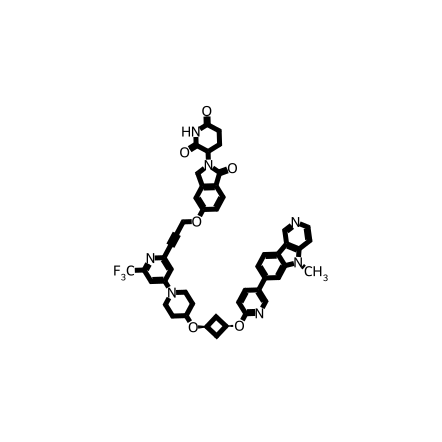 Cn1c2ccncc2c2ccc(-c3ccc(O[C@H]4C[C@H](OC5CCN(c6cc(C#CCOc7ccc8c(c7)CN(C7CCC(=O)NC7=O)C8=O)nc(C(F)(F)F)c6)CC5)C4)nc3)cc21